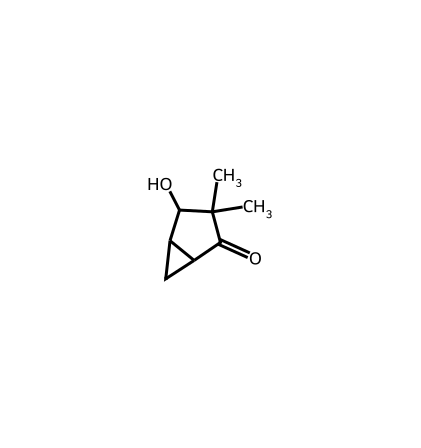 CC1(C)C(=O)C2CC2C1O